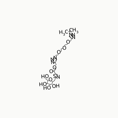 CC(C)n1cc(COCCOCCOCCn2cc(COCC(=O)c3cnc(CC4OC(CO)C(O)C(O)C4O)s3)nn2)nn1